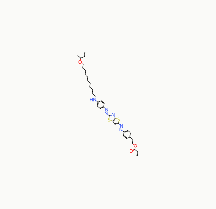 C=CC(=O)OCCc1ccc(/N=N/c2cc3sc(/N=N/c4ccc(NCCCCCCCCCCCOC(C)C=C)cc4)nc3s2)cc1